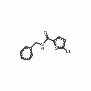 CCc1ccc(C(=O)NCc2ccccc2)s1